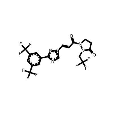 O=C(C=Cn1cnc(-c2cc(C(F)(F)F)cc(C(F)(F)F)c2)n1)N1CCC(=O)N1CC(F)(F)F